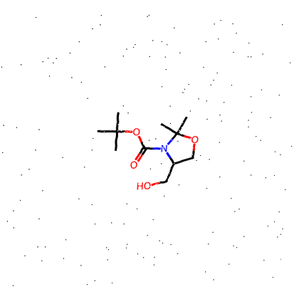 CC(C)(C)OC(=O)N1C(CO)COC1(C)C